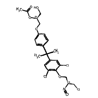 CC(=O)O[C@@H](CO)COc1ccc(C(C)(C)c2cc(Cl)c(OC[C@@H](CCl)N=O)c(Cl)c2)cc1